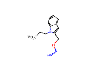 N=NOCc1cc2ccccc2n1CCC(=O)O